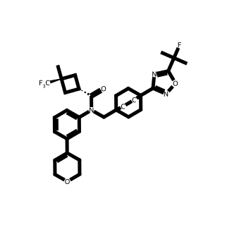 CC(C)(F)c1nc(C23CCC(CN(c4cccc(C5=CCOCC5)c4)C(=O)[C@H]4C[C@](C)(C(F)(F)F)C4)(CC2)CC3)no1